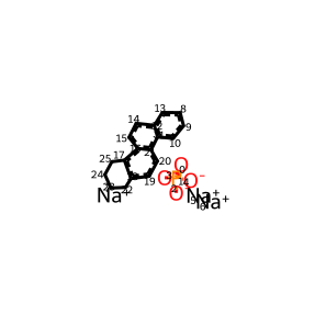 O=P([O-])([O-])[O-].[Na+].[Na+].[Na+].c1ccc2c(c1)ccc1c3c(ccc12)CCCC3